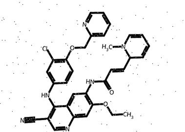 CCOc1cc2ncc(C#N)c(Nc3ccc(OCc4ccccn4)c(Cl)c3)c2cc1NC(=O)C=CC1C=CC=CN1C